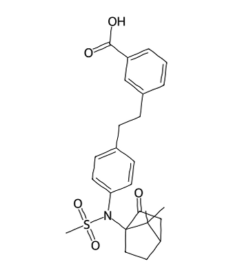 CC1(C)C2CCC1(N(c1ccc(CCc3cccc(C(=O)O)c3)cc1)S(C)(=O)=O)C(=O)C2